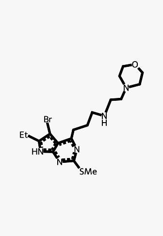 CCc1[nH]c2nc(SC)nc(CCCNCCN3CCOCC3)c2c1Br